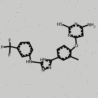 Cc1cc(-c2nnc(Nc3cccc(C(F)(F)F)c3)[nH]2)ccc1Oc1cc(N)nc(S)n1